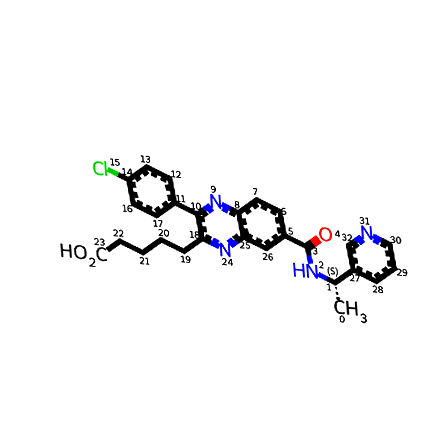 C[C@H](NC(=O)c1ccc2nc(-c3ccc(Cl)cc3)c(CCCCC(=O)O)nc2c1)c1cccnc1